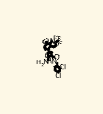 COc1ccc(-c2cc(C(=O)NCc3ccc(Cl)cc3Cl)c(CN)o2)c2ccc(C(F)(F)F)nc12